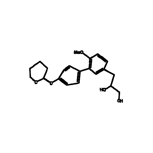 COc1ccc(CC(O)CO)cc1-c1ccc(OC2CCCCO2)cc1